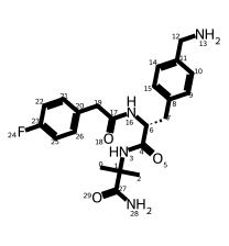 CC(C)(NC(=O)[C@@H](Cc1ccc(CN)cc1)NC(=O)Cc1ccc(F)cc1)C(N)=O